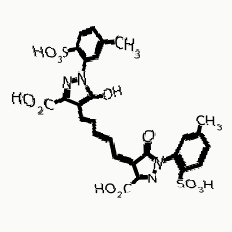 Cc1ccc(S(=O)(=O)O)c(N2N=C(C(=O)O)/C(=C/C=C/C=C/c3c(C(=O)O)nn(-c4cc(C)ccc4S(=O)(=O)O)c3O)C2=O)c1